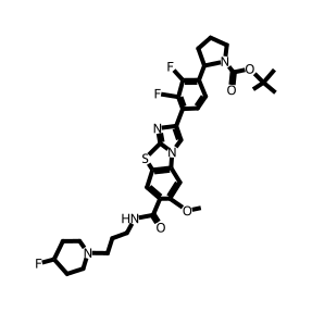 COc1cc2c(cc1C(=O)NCCCN1CCC(F)CC1)sc1nc(-c3ccc(C4CCCN4C(=O)OC(C)(C)C)c(F)c3F)cn12